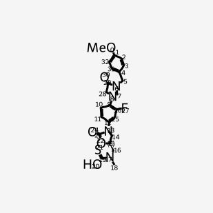 COc1ccc(CN2CN(c3ccc(N4C[C@@H](CN(C)C(O)=S)OC4=O)cc3F)CC2=O)cc1